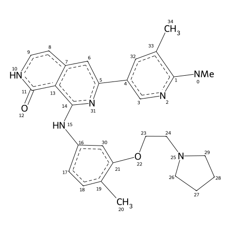 CNc1ncc(-c2cc3cc[nH]c(=O)c3c(Nc3ccc(C)c(OCCN4CCCC4)c3)n2)cc1C